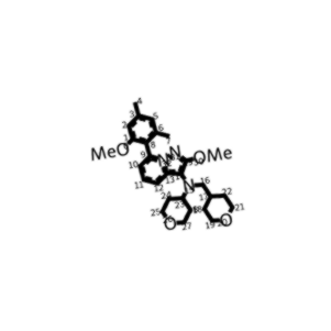 COc1cc(C)cc(C)c1-c1cccc2c(N(CC3CCOCC3)C3CCOCC3)c(OC)nn12